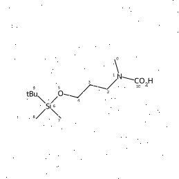 CN(CCCO[Si](C)(C)C(C)(C)C)C(=O)O